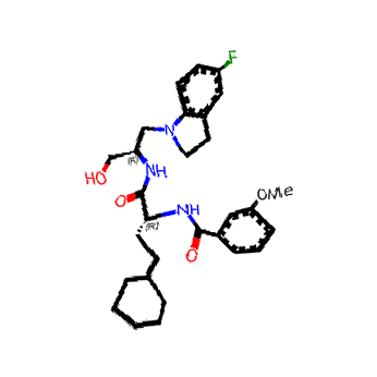 COc1cccc(C(=O)N[C@H](CCC2CCCCC2)C(=O)N[C@@H](CO)CN2CCc3cc(F)ccc32)c1